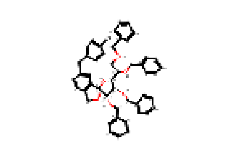 CCc1ccc(Cc2ccc3c(c2)[C@]2(OC3)O[C@H]([C@@H](COCc3ccccc3)OCc3ccccc3)[C@H](OCc3ccccc3)[C@H]2OCc2ccccc2)cc1